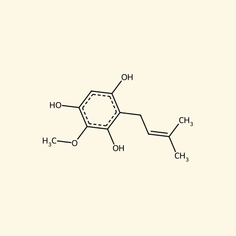 COc1c(O)cc(O)c(CC=C(C)C)c1O